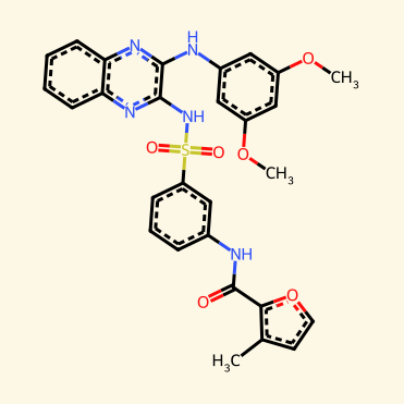 COc1cc(Nc2nc3ccccc3nc2NS(=O)(=O)c2cccc(NC(=O)c3occc3C)c2)cc(OC)c1